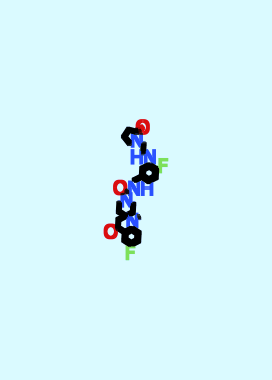 CN1c2ccc(F)cc2C(=O)CC12CCN(C(=O)NCc1ccc(F)c(NCCN3CCCC3=O)c1)CC2